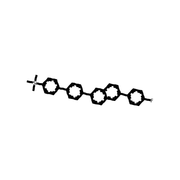 C[Si](C)(C)c1ccc(-c2ccc(-c3ccc4cc(-c5ccc(F)cc5)ccc4c3)cc2)cc1